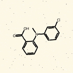 CN(c1cccc(Cl)c1)c1ccccc1C(=O)O